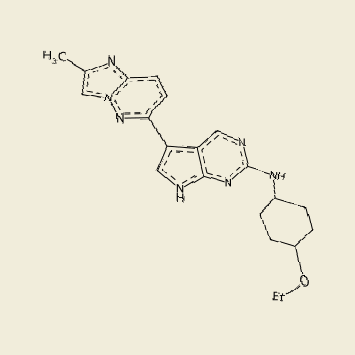 CCOC1CCC(Nc2ncc3c(-c4ccc5nc(C)cn5n4)c[nH]c3n2)CC1